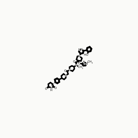 CN(C(=O)C1(Oc2ccn(C)n2)CCN(c2cnnc(-c3ccccc3O)c2)CC1)C1CCN(C(=O)CN2CCC(c3ccc([C@H]4CCC(=O)NC4=O)cc3)CC2)CC1